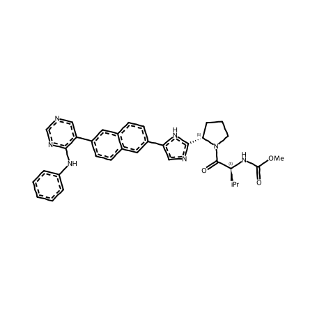 COC(=O)N[C@H](C(=O)N1CCC[C@H]1c1ncc(-c2ccc3cc(-c4cncnc4Nc4ccccc4)ccc3c2)[nH]1)C(C)C